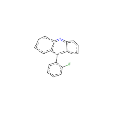 Fc1ccccc1-c1c2ccccc2nc2ccccc12